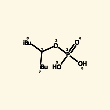 CCC(C)C(OP(=O)(O)O)C(C)CC